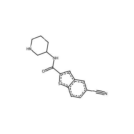 N#Cc1ccc2sc(C(=O)NC3CCCNC3)cc2c1